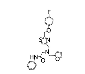 O=C(CN(Cc1csc(COc2ccc(F)cc2)n1)Cc1ccco1)Nc1ccccc1